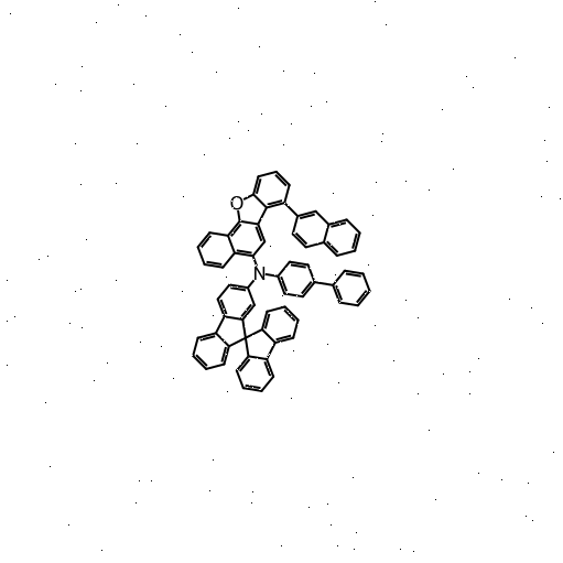 c1ccc(-c2ccc(N(c3ccc4c(c3)C3(c5ccccc5-c5ccccc53)c3ccccc3-4)c3cc4c(oc5cccc(-c6ccc7ccccc7c6)c54)c4ccccc34)cc2)cc1